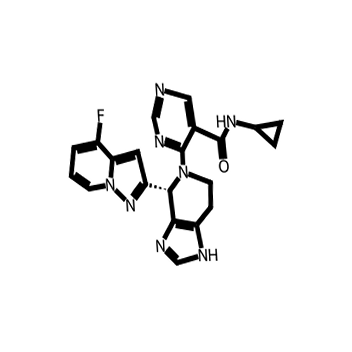 O=C(NC1CC1)c1cncnc1N1CCc2[nH]cnc2[C@@H]1c1cc2c(F)cccn2n1